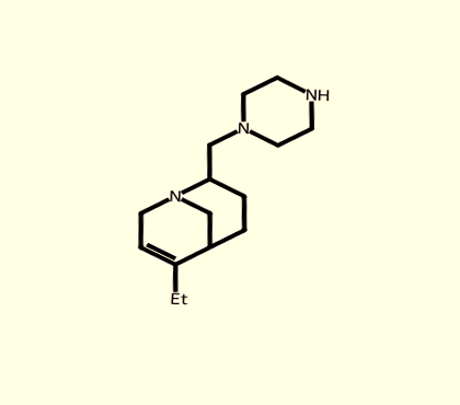 CCC1=CCN2CC1CCC2CN1CCNCC1